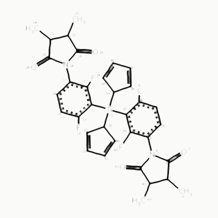 CC1C(=O)N(c2ccc(F)[c]([Ti]([c]3c(F)ccc(N4C(=O)C(C)C(C)C4=O)c3F)([CH]3C=CC=C3)[CH]3C=CC=C3)c2F)C(=O)C1C